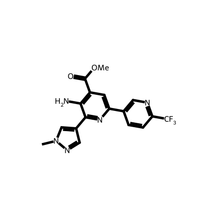 COC(=O)c1cc(-c2ccc(C(F)(F)F)nc2)nc(-c2cnn(C)c2)c1N